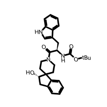 CC(C)(C)OC(=O)N[C@H](Cc1c[nH]c2ccccc12)C(=O)N1CCC2(CC1)c1ccccc1C[C@@H]2O